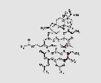 C=C1C[C@@]23CC[C@H]4[C@@](C)(CCC[C@@]4(C)C(=O)O)[C@@H]2CC[C@]1(O[C@@H]1O[C@H](CCOC(C)=O)[C@@H](OC(C)=O)[C@H](O[C@@H]2O[C@H](COC(C)=O)[C@@H](OC(C)=O)[C@H](OC(C)=O)[C@H]2OC(C)=O)[C@H]1O[C@@H]1O[C@H](COC(C)=O)[C@@H](OC(C)=O)[C@H](OC(C)=O)[C@H]1OC(C)=O)C3